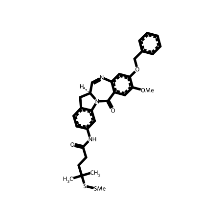 COc1cc2c(cc1OCc1ccccc1)N=C[C@@H]1Cc3ccc(NC(=O)CCC(C)(C)SSC)cc3N1C2=O